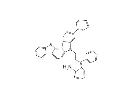 NC1C=CC=C/C1=C(/CCn1c2cc(-c3ccccc3)ccc2c2c3sc4ccccc4c3ccc21)c1ccccc1